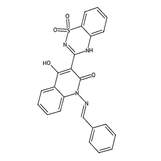 O=c1c(C2=NS(=O)(=O)c3ccccc3N2)c(O)c2ccccc2n1/N=C/c1ccccc1